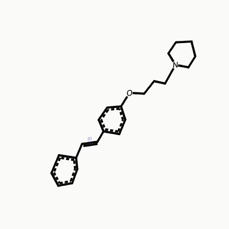 C(=C\c1ccc(OCCCN2CCCCC2)cc1)/c1ccccc1